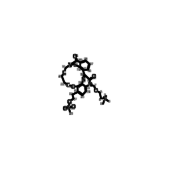 C[Si](C)(C)CCOCn1c(=O)c2nc3c(c(CCOS(C)(=O)=O)ccc31)OCCCCCn1sc3c-2cccc3c1=O